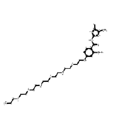 CC(=O)Nc1cc(NCCOCCOCCOCCOCCOCCOCCN)ccc1C(=O)Nc1nc(C)c([N+](=O)[O-])s1